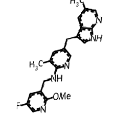 COc1ncc(F)cc1CNc1ncc(Cc2c[nH]c3ncc(C)cc23)cc1C